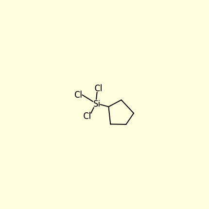 Cl[Si](Cl)(Cl)C1CCCC1